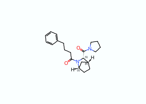 O=C([C@@H]1[C@@H]2CC[C@@H](C2)N1C(=O)CCCc1ccccc1)N1CCCC1